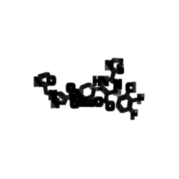 COC(=O)C1=C(C2CCN(S(=O)(=O)c3cnn(Cc4ncco4)c3)CC2)NC(c2nccs2)=N[C@@H]1c1ccc(F)c(F)c1Cl